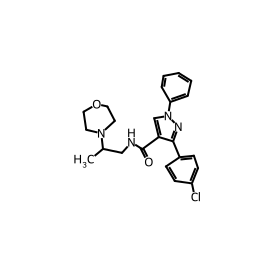 CC(CNC(=O)c1cn(-c2ccccc2)nc1-c1ccc(Cl)cc1)N1CCOCC1